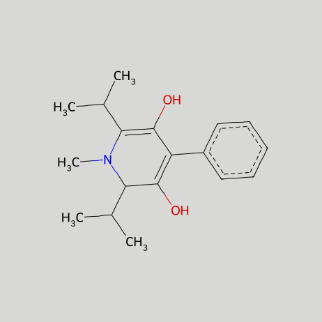 CC(C)C1=C(O)C(c2ccccc2)=C(O)C(C(C)C)N1C